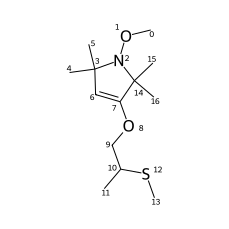 CON1C(C)(C)C=C(OCC(C)SC)C1(C)C